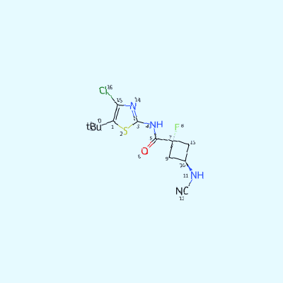 CC(C)(C)c1sc(NC(=O)[C@]2(F)C[C@H](NC#N)C2)nc1Cl